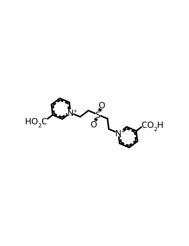 O=C(O)c1ccc[n+](CCS(=O)(=O)CC[n+]2cccc(C(=O)O)c2)c1